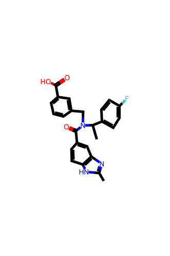 Cc1nc2cc(C(=O)N(Cc3cccc(C(=O)O)c3)C(C)c3ccc(F)cc3)ccc2[nH]1